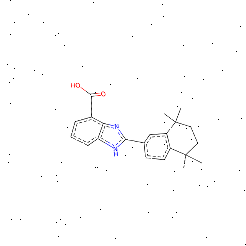 CC1(C)CCC(C)(C)c2cc(-c3nc4c(C(=O)O)cccc4[nH]3)ccc21